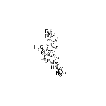 COc1cc(-c2cccc(C(F)(F)F)c2)c(F)cc1N1C(=O)COC2CN(SNc3ccon3)CCC21